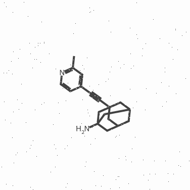 Cc1cc(C#CC23CC4CC(CC(N)(C4)C2)C3)ccn1